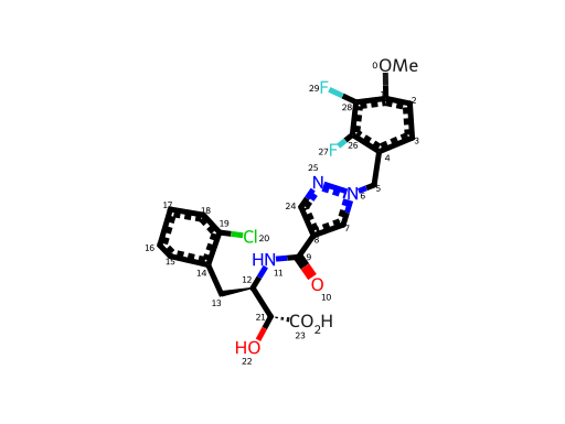 COc1ccc(Cn2cc(C(=O)N[C@H](Cc3ccccc3Cl)[C@@H](O)C(=O)O)cn2)c(F)c1F